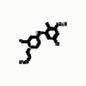 CCC1CC(Nc2cc(Cl)cc(C(=O)O)c2C)CCN1CCOC